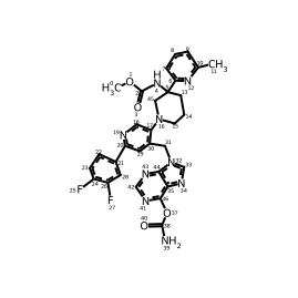 COC(=O)NC1(c2cccc(C)n2)CCCN(c2cnc(-c3ccc(F)c(F)c3)cc2Cn2cnc3c(OC(N)=O)ncnc32)C1